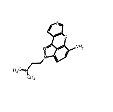 CN(C)CCn1nc2c3c(c(N)ccc31)Sc1cnccc1-2